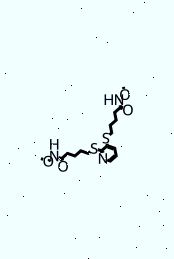 CONC(=O)CCCCSc1cccnc1SCCCCC(=O)NOC